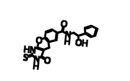 O=C(NCC(O)c1ccccc1)c1ccc2c(c1)Cc1c([nH]c(=S)[nH]c1=O)O2